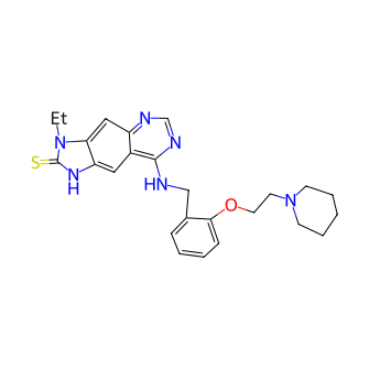 CCn1c(=S)[nH]c2cc3c(NCc4ccccc4OCCN4CCCCC4)ncnc3cc21